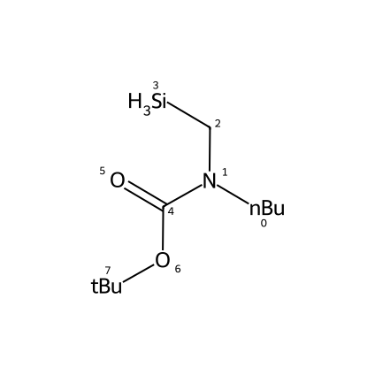 CCCCN(C[SiH3])C(=O)OC(C)(C)C